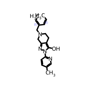 C/C=C\C(=C/C)CN1CCc2c(nn(-c3ccc(C)cn3)c2O)C1